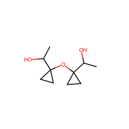 CC(O)C1(OC2(C(C)O)CC2)CC1